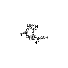 Cc1cc2c(cc1C#N)c(-c1cccc3c1CC(C)(C)CN3)cn2[C@H]1CC[C@H](Oc2cc3c(c(-c4cn([C@H]5CC[C@@H](Oc6ccc(-c7cn([C@H]8CC[C@H](O)CC8)c8cc(C)c(C#N)cc78)c7c6NC(=O)CC7)CC5)c5cc(C)c(C#N)cc45)c2)CC(C)(C)CN3)CC1